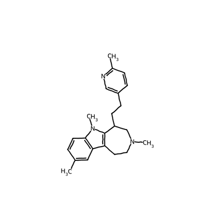 Cc1ccc2c(c1)c1c(n2C)C(CCc2ccc(C)nc2)CN(C)CC1